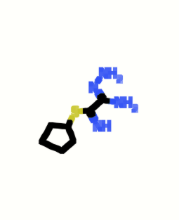 N=C(SC1CCCC1)C(N)=NN